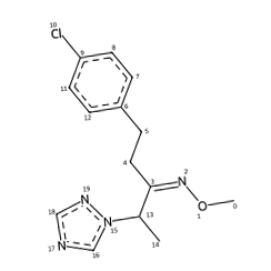 CON=C(CCc1ccc(Cl)cc1)C(C)n1cncn1